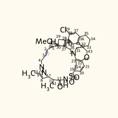 CO[C@H]1/C=C/Cn2nc(cc2C)C(C)C(=O)NS(=O)(=O)c2ccc3c(c2)N(C[C@@H]2CC[C@H]21)C[C@@]1(CCCc2cc(Cl)ccc21)CO3